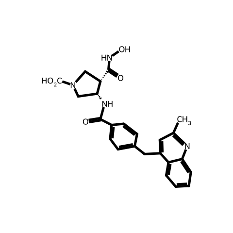 Cc1cc(Cc2ccc(C(=O)N[C@@H]3CN(C(=O)O)C[C@@H]3C(=O)NO)cc2)c2ccccc2n1